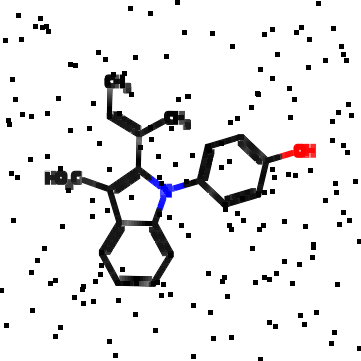 CC=C(C)c1c(C(=O)O)c2ccccc2n1-c1ccc(O)cc1